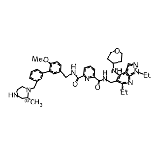 CCc1nc2c(cnn2CC)c(NC2CCOCC2)c1CNC(=O)c1cccc(C(=O)NCc2ccc(OC)c(-c3cccc(CN4CCNC[C@@H]4C)c3)c2)n1